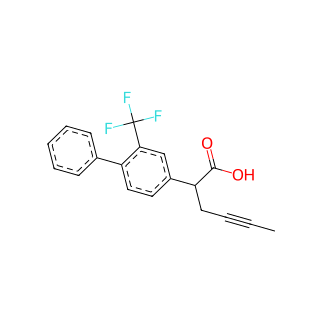 CC#CCC(C(=O)O)c1ccc(-c2ccccc2)c(C(F)(F)F)c1